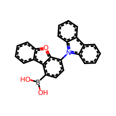 OB(O)c1ccc(-n2c3ccccc3c3ccccc32)c2oc3ccccc3c12